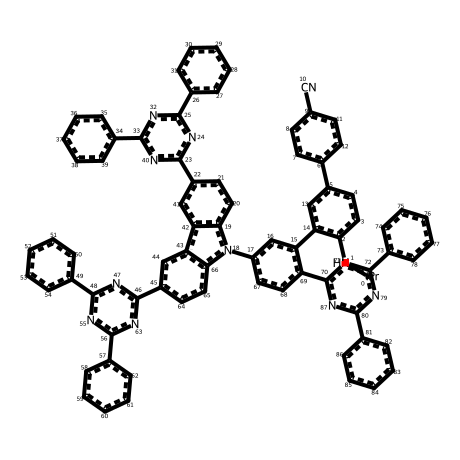 CC(C)Nc1ccc(-c2ccc(C#N)cc2)cc1-c1cc(-n2c3ccc(-c4nc(-c5ccccc5)nc(-c5ccccc5)n4)cc3c3cc(-c4nc(-c5ccccc5)nc(-c5ccccc5)n4)ccc32)ccc1-c1nc(-c2ccccc2)nc(-c2ccccc2)n1